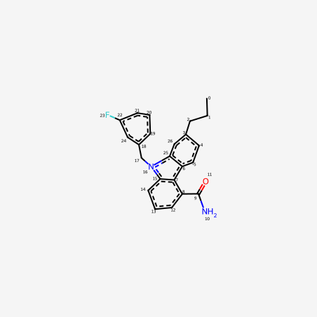 CCCc1c[c]c2c3c(C(N)=O)cccc3n(Cc3cccc(F)c3)c2c1